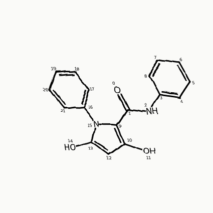 O=C(Nc1ccccc1)c1c(O)cc(O)n1-c1ccccc1